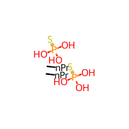 CCCC.CCCC.OP(O)(O)=S.OP(O)(O)=S